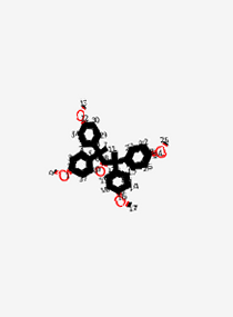 COc1ccc(C(C)(C(=O)C(C)(c2ccc(OC)cc2)c2ccc(OC)cc2)c2ccc(OC)cc2)cc1